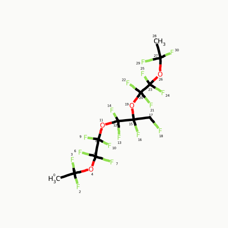 CC(F)(F)OC(F)(F)C(F)(F)OC(F)(F)C(F)(CF)OC(F)(F)C(F)(F)OC(C)(F)F